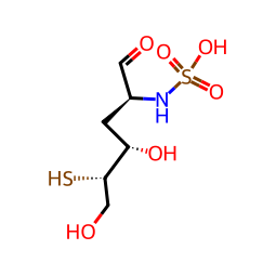 O=C[C@H](C[C@H](O)[C@@H](S)CO)NS(=O)(=O)O